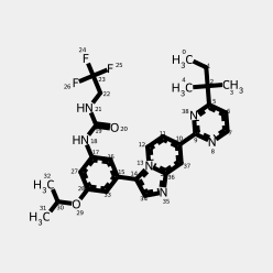 CCC(C)(C)c1ccnc(-c2ccn3c(-c4cc(NC(=O)NCC(F)(F)F)cc(OC(C)C)c4)cnc3c2)n1